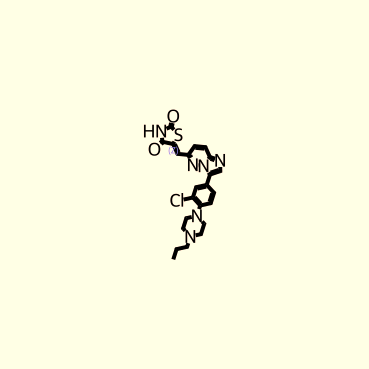 CCCN1CCN(c2ccc(-c3cnc4ccc(/C=C5\SC(=O)NC5=O)nn34)cc2Cl)CC1